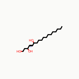 CCCCCCCCCCCCC(O)/C=C/C(O)CCO